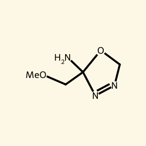 COCC1(N)N=NCO1